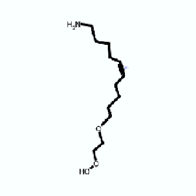 NCCCC/C=C\CCCCOCCOO